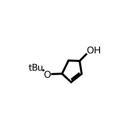 CC(C)(C)OC1C=CC(O)C1